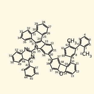 Cc1ccccc1-c1cc(-c2cccc3oc4ccc(-c5ccc6c7c8ccccc8c8ccccc8c7n(-c7nc(-c8ccccc8)c8ccccc8n7)c6c5)cc4c23)ccc1C